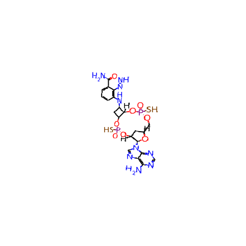 N=Nc1c(N[C@@H]2CC3OP(=O)(S)O[C@@H]4C[C@@H](COP(=O)(S)O[C@H]32)O[C@H]4n2cnc3c(N)ncnc32)cccc1C(N)=O